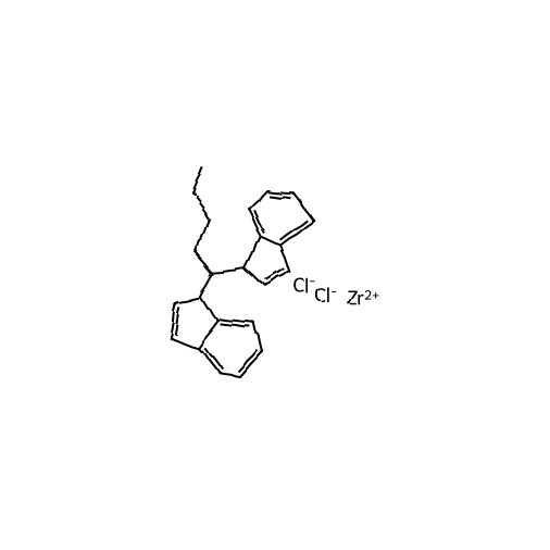 CCCCC(C1C=Cc2ccccc21)C1C=Cc2ccccc21.[Cl-].[Cl-].[Zr+2]